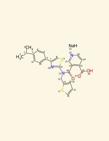 CC(C)c1ccc(-c2csc(N(Cc3cccs3)C(=O)c3cnccc3C(=O)O)n2)cc1.[NaH]